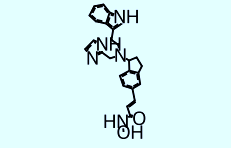 O=C(C=Cc1ccc2c(c1)CCC2N(CCc1c[nH]c2ccccc12)Cc1ncc[nH]1)NO